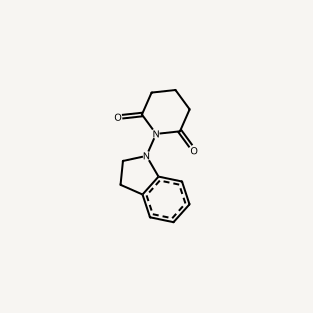 O=C1CCCC(=O)N1N1CCc2ccccc21